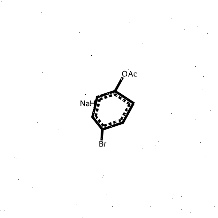 CC(=O)Oc1ccc(Br)cc1.[NaH]